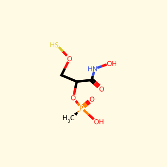 C[P@@](=O)(O)OC(COS)C(=O)NO